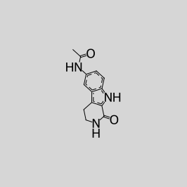 CC(=O)Nc1ccc2[nH]c3c(c2c1)CCNC3=O